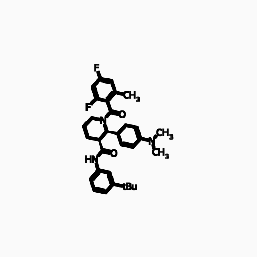 Cc1cc(F)cc(F)c1C(=O)N1CCC[C@H](C(=O)Nc2cccc(C(C)(C)C)c2)[C@@H]1C1C=CC(N(C)C)=CC1